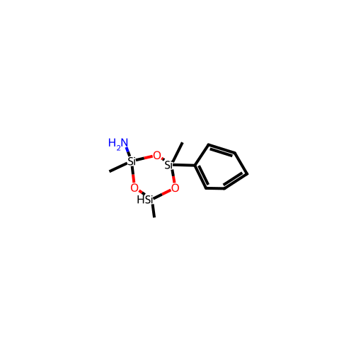 C[SiH]1O[Si](C)(N)O[Si](C)(c2ccccc2)O1